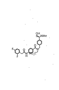 CN/C(=N\O)c1ccc(CN(CC(=O)O)C(=O)c2ccc(NC(=O)Cc3ccc(F)cc3F)cc2)cc1